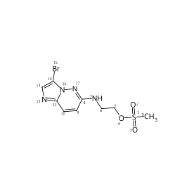 CS(=O)(=O)OCCNc1ccc2ncc(Br)n2n1